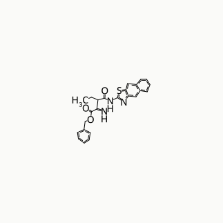 CCC(C(=N)C(=O)OCc1ccccc1)C(=O)Nc1nc2cc3ccccc3cc2s1